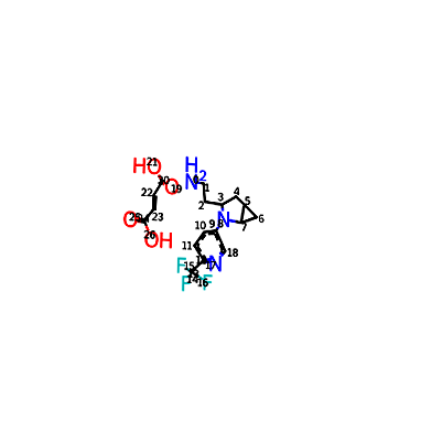 NCCC1CC2CC2N1c1ccc(C(F)(F)F)nc1.O=C(O)C=CC(=O)O